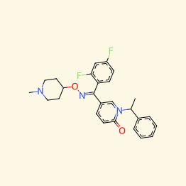 CC(c1ccccc1)n1cc(C(=NOC2CCN(C)CC2)c2ccc(F)cc2F)ccc1=O